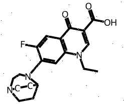 CCn1cc(C(=O)O)c(=O)c2cc(F)c(N3CCN4CCC3CC4)cc21